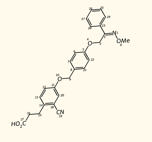 CO/N=C(\COc1ccc(COc2ccc(CCC(=O)O)c(C#N)c2)cc1)c1ccccc1